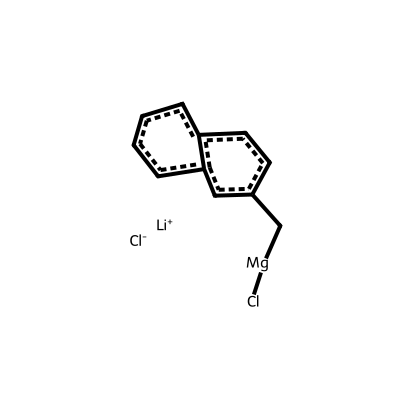 [Cl-].[Cl][Mg][CH2]c1ccc2ccccc2c1.[Li+]